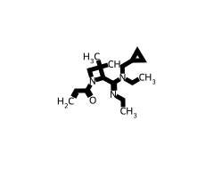 C=CC(=O)N1CC(C)(C)C1/C(=N/CC)N(CC)CC1CC1